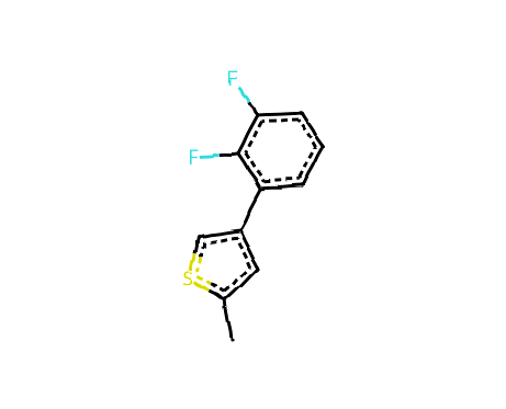 Cc1cc(-c2cccc(F)c2F)cs1